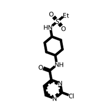 CCS(=O)(=O)NC1CCC(NC(=O)c2ccnc(Cl)n2)CC1